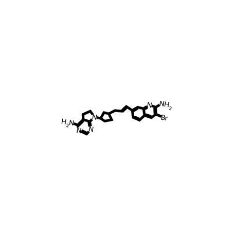 Nc1nc2cc(/C=C/CC3CCC(N4CCc5c(N)ncnc54)C3)ccc2cc1Br